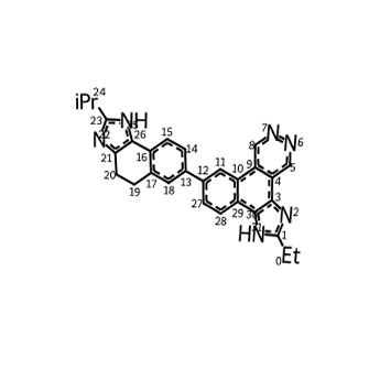 CCc1nc2c3cnncc3c3cc(-c4ccc5c(c4)CCc4nc(C(C)C)[nH]c4-5)ccc3c2[nH]1